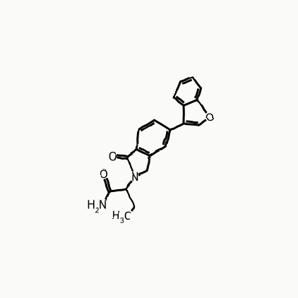 CCC(C(N)=O)N1Cc2cc(-c3coc4ccccc34)ccc2C1=O